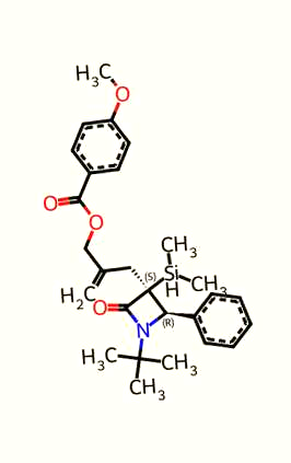 C=C(COC(=O)c1ccc(OC)cc1)C[C@@]1([SiH](C)C)C(=O)N(C(C)(C)C)[C@@H]1c1ccccc1